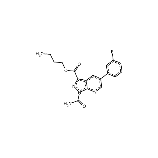 CCCCOC(=O)c1nn(C(N)=O)c2ncc(-c3cccc(F)c3)cc12